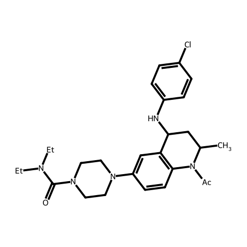 CCN(CC)C(=O)N1CCN(c2ccc3c(c2)C(Nc2ccc(Cl)cc2)CC(C)N3C(C)=O)CC1